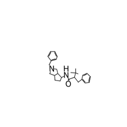 CC(C)(C)C(Cc1ccccc1)C(=O)NC1CCC2CN(Cc3ccccc3)CC21